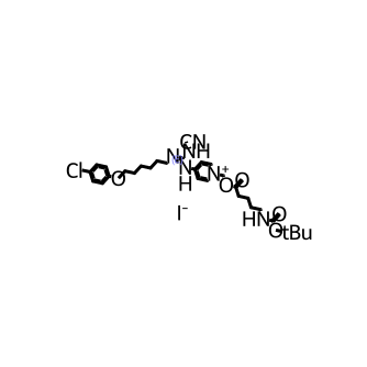 CC(C)(C)OC(=O)NCCCCC(=O)OC[n+]1ccc(N/C(=N\CCCCCCOc2ccc(Cl)cc2)NC#N)cc1.[I-]